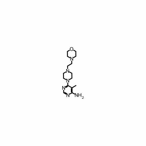 Cc1c(N)ncnc1N1CCN(CCN2CCOCC2)CC1